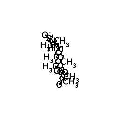 CC1(C)C(C=O)CC1C(=O)OC1CCC2(C)C(CCC3(C)C4CCC5(NCC(C)(C)N6CC[S+]([O-])CC6)CCCC5C4CCC32)C1(C)C